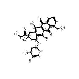 N[C@@H]1C[C@H](O[C@H]2C[C@](O)(C(=O)CO)Cc3c(O)c4c(c(O)c32)C(=O)c2c(CO)cccc2C4=O)OC=C1O